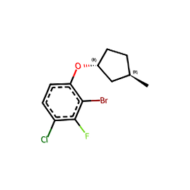 C[C@@H]1CC[C@@H](Oc2ccc(Cl)c(F)c2Br)C1